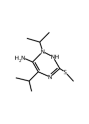 CSC1=NC(C(C)C)=C(N)N(C(C)C)N1